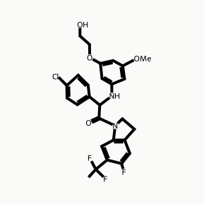 COc1cc(NC(C(=O)N2CCc3cc(F)c(C(C)(F)F)cc32)c2ccc(Cl)cc2)cc(OCCO)c1